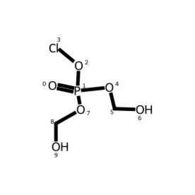 O=P(OCl)(OCO)OCO